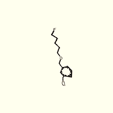 FCCCCCOCc1cccc(Cl)c1